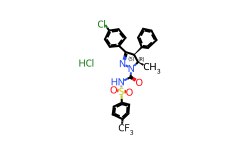 C[C@@H]1[C@H](c2ccccc2)C(c2ccc(Cl)cc2)=NN1C(=O)NS(=O)(=O)c1ccc(C(F)(F)F)cc1.Cl